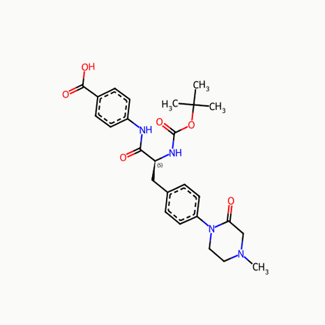 CN1CCN(c2ccc(C[C@H](NC(=O)OC(C)(C)C)C(=O)Nc3ccc(C(=O)O)cc3)cc2)C(=O)C1